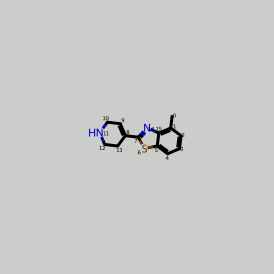 Cc1cccc2sc(C3=CCNCC3)nc12